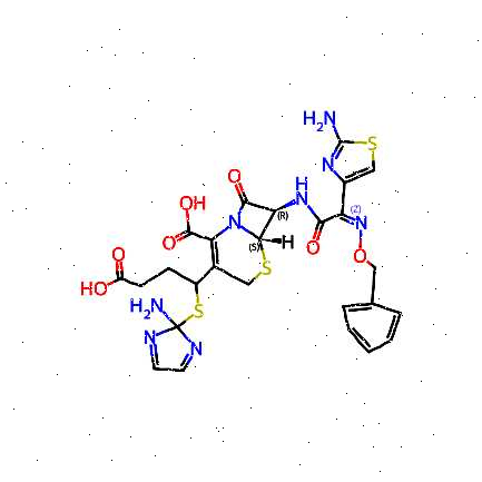 Nc1nc(/C(=N/OCc2ccccc2)C(=O)N[C@@H]2C(=O)N3C(C(=O)O)=C(C(CCC(=O)O)SC4(N)N=CC=N4)CS[C@@H]23)cs1